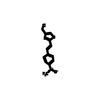 [O-][S+](c1ccc(/C=C/c2nc(CCl)co2)cc1)C(F)(F)F